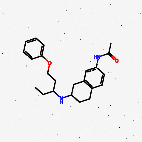 CCC(CCOc1ccccc1)NC1CCc2ccc(NC(C)=O)cc2C1